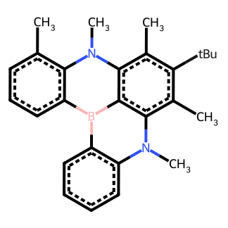 Cc1cccc2c1N(C)c1c(C)c(C(C)(C)C)c(C)c3c1B2c1ccccc1N3C